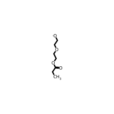 CCC(=O)OCCOCC[O]